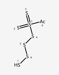 CC(=O)S(=S)(=S)SSSS